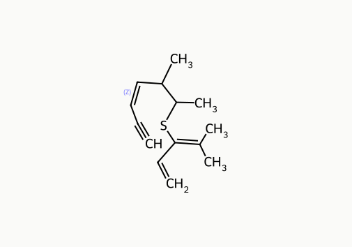 C#C/C=C\C(C)C(C)SC(C=C)=C(C)C